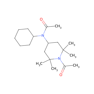 CC(=O)N(C1CCCCC1)C1CC(C)(C)N(C(C)=O)C(C)(C)C1